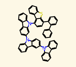 c1ccc(-c2ccccc2-c2ccc(-n3c4ccccc4c4ccc(-n5c6ccccc6c6cc(-n7c8ccccc8c8ccccc87)ccc65)cc43)c3c2sc2ccccc23)cc1